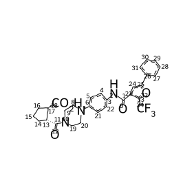 O=C(Nc1ccc(N2CCN(C(=O)[C@@H]3CCC[C@H]3C(=O)O)CC2)cc1)c1cc(-c2ccccc2)oc1C(F)(F)F